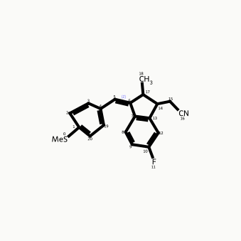 CSc1ccc(/C=C2\c3ccc(F)cc3C(CC#N)C2C)cc1